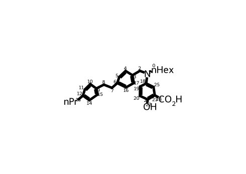 CCCCCCN(Cc1ccc(CCc2ccc(CCC)cc2)cc1)c1ccc(O)c(C(=O)O)c1